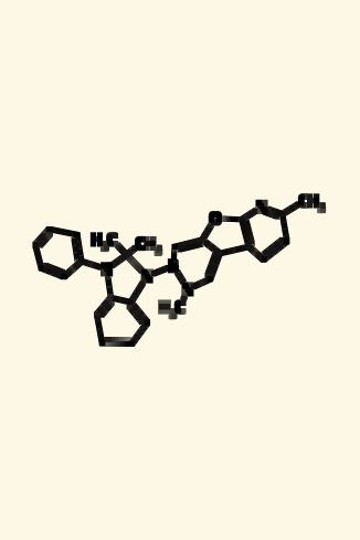 Cc1ccc2c3c(oc2n1)=CB(N1c2ccccc2N(c2ccccc2)C1(C)C)N(C)C=3